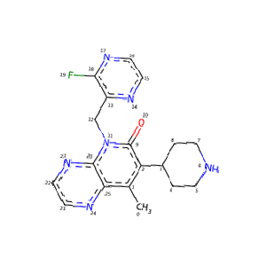 Cc1c(C2CCNCC2)c(=O)n(Cc2nccnc2F)c2nccnc12